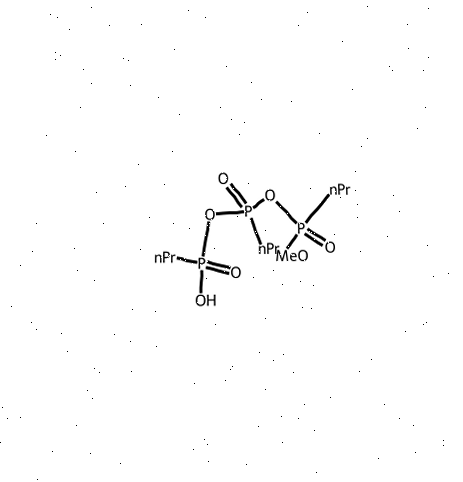 CCCP(=O)(O)OP(=O)(CCC)OP(=O)(CCC)OC